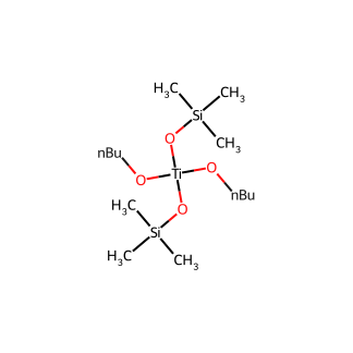 CCCC[O][Ti]([O]CCCC)([O][Si](C)(C)C)[O][Si](C)(C)C